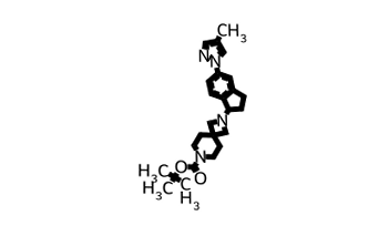 Cc1cnn(-c2ccc3c(c2)CCC3N2CC3(CCN(C(=O)OC(C)(C)C)CC3)C2)c1